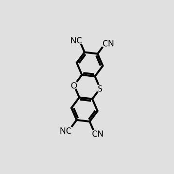 N#Cc1cc2c(cc1C#N)Sc1cc(C#N)c(C#N)cc1O2